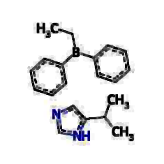 CC(C)c1cnc[nH]1.CCB(c1ccccc1)c1ccccc1